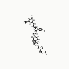 COC(=O)CCCS(=O)(=O)c1ccc(OC[C@@H]2CN(CCc3cc(Cl)cc(C#N)c3)C[C@H]2C)cc1